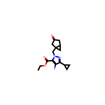 CCOC(=O)c1c(I)c(C2CC2)nn1CC12CC(=O)CC1C2